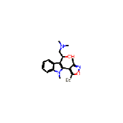 CCc1onc(C)c1-c1c(C(O)CN(C)C)c2ccccc2n1C